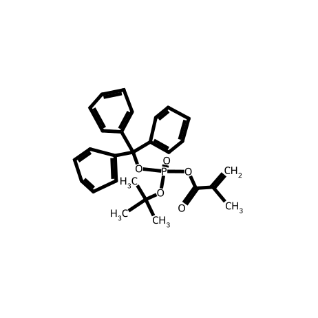 C=C(C)C(=O)OP(=O)(OC(C)(C)C)OC(c1ccccc1)(c1ccccc1)c1ccccc1